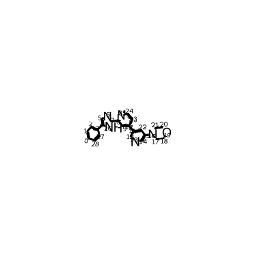 c1ccc(-c2cnc(-c3cc(-c4cncc(N5CCOCC5)c4)ccn3)[nH]2)cc1